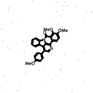 COc1ccc(-c2cnc3c4ccc(OC)c(OC)c4c(=O)n4c5ccccc5c2c34)cc1